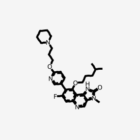 CC(C)CCCOc1c(-c2ccc(OCCCN3CCCCC3)nc2)c(F)cc2ncc3c([nH]c(=O)n3C)c12